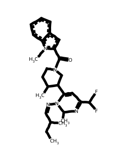 CCC(C)/C=N\N1C(C2CN(C(=O)c3cc4ccccc4n3C)CCC2C)=CC(C(F)F)=NC1C